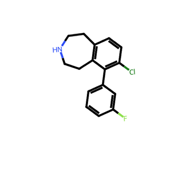 Fc1cccc(-c2c(Cl)ccc3c2CCNCC3)c1